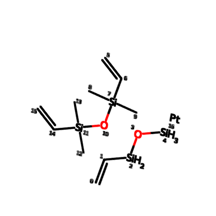 C=C[SiH2]O[SiH3].C=C[Si](C)(C)O[Si](C)(C)C=C.[Pt]